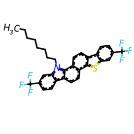 CCCCCCCCn1c2cc(C(F)(F)F)ccc2c2ccc3c(ccc4c5ccc(C(F)(F)F)cc5sc43)c21